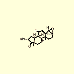 CCC[C@@H]1C[C@H]2[C@@H]3C(=O)C=C4[C@@H]5O[C@@H]5CC[C@]4(C)[C@H]3CC[C@]2(C)C1=O